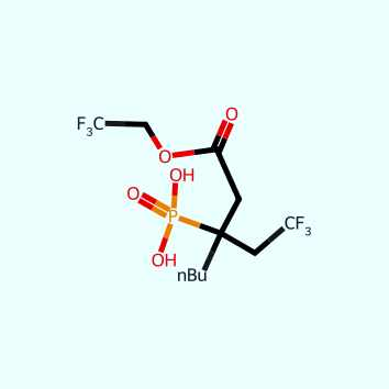 CCCCC(CC(=O)OCC(F)(F)F)(CC(F)(F)F)P(=O)(O)O